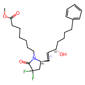 COC(=O)CCCCCCN1C(=O)C(F)(F)C[C@@H]1/C=C/[C@@H](O)CCCCc1ccccc1